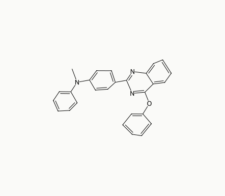 CN(c1ccccc1)c1ccc(-c2nc(Oc3ccccc3)c3ccccc3n2)cc1